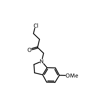 COc1ccc2c(c1)N(CC(=O)CCCl)CC2